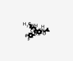 Cc1cc(C)c(C=C2CN(Cc3ccc(F)c(F)c3)c3ccc(NC(=O)C4CC4)cc32)[nH]1